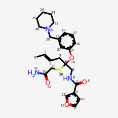 CC=CCC(CNC(=O)c1ccoc1)(Oc1cccc(CN2CCCCC2)c1)SCC(N)=O